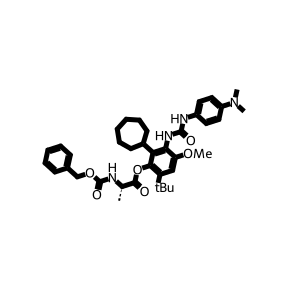 COc1cc(C(C)(C)C)c(OC(=O)[C@H](C)NC(=O)OCc2ccccc2)c(C2CCCCCC2)c1NC(=O)Nc1ccc(N(C)C)cc1